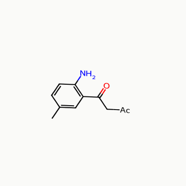 CC(=O)CC(=O)c1cc(C)ccc1N